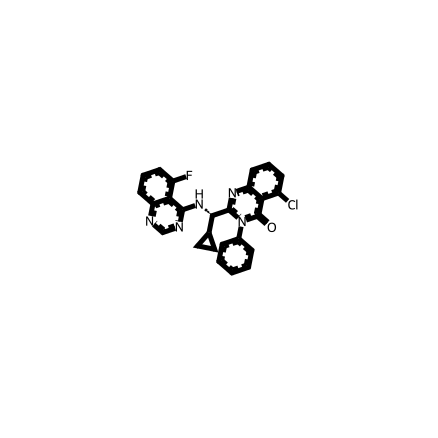 O=c1c2c(Cl)cccc2nc([C@@H](Nc2ncnc3cccc(F)c23)C2CC2)n1-c1ccccc1